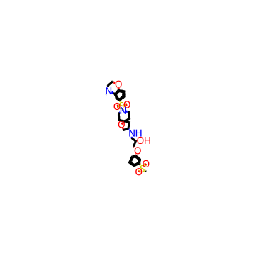 CN1CCOc2ccc(S(=O)(=O)N3CCC4(CC3)CC(NC[C@H](O)COc3cccc(S(C)(=O)=O)c3)CO4)cc21